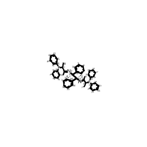 C/C(=N\[C@@](C)(c1ccccc1)[C@@](C)(/N=C(\C)C(C)P(c1ccccc1)c1ccccc1)c1ccccc1)C(C)P(c1ccccc1)c1ccccc1